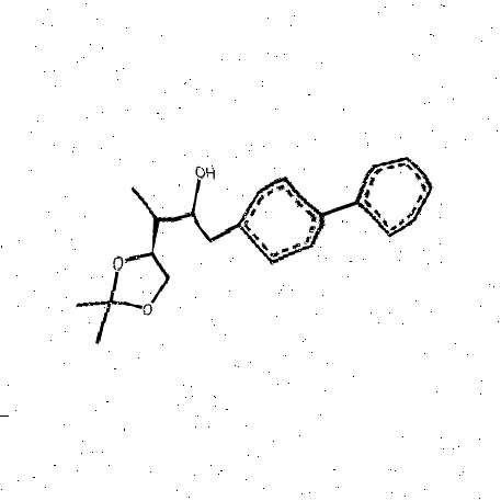 CC(C(O)Cc1ccc(-c2ccccc2)cc1)[C@H]1COC(C)(C)O1